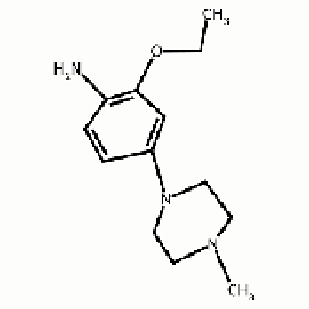 CCOc1cc(N2CCN(C)CC2)ccc1N